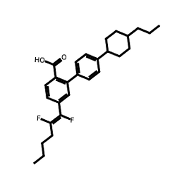 CCCCC(F)=C(F)c1ccc(C(=O)O)c(-c2ccc(C3CCC(CCC)CC3)cc2)c1